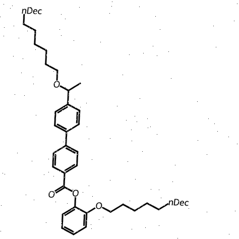 CCCCCCCCCCCCCCCCOC(C)c1ccc(-c2ccc(C(=O)Oc3ccccc3OCCCCCCCCCCCCCCC)cc2)cc1